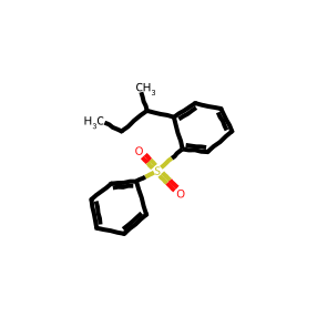 CCC(C)c1ccccc1S(=O)(=O)c1ccccc1